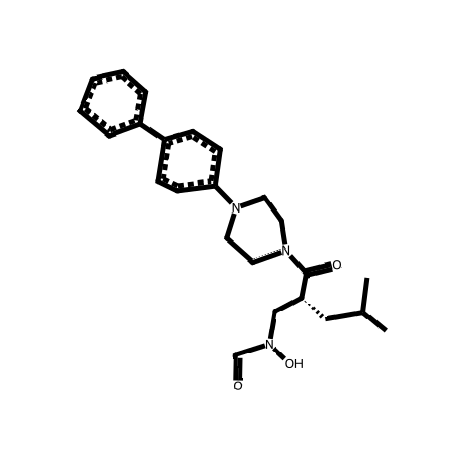 CC(C)C[C@H](CN(O)C=O)C(=O)N1CCN(c2ccc(-c3ccccc3)cc2)CC1